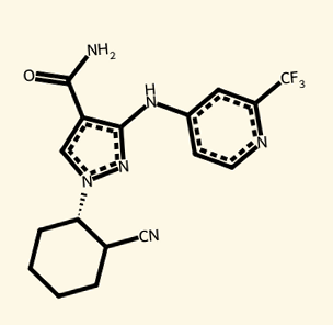 N#CC1CCCC[C@@H]1n1cc(C(N)=O)c(Nc2ccnc(C(F)(F)F)c2)n1